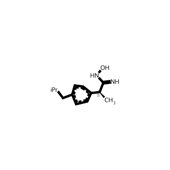 CC(C)Cc1ccc([C@H](C)C(=N)NO)cc1